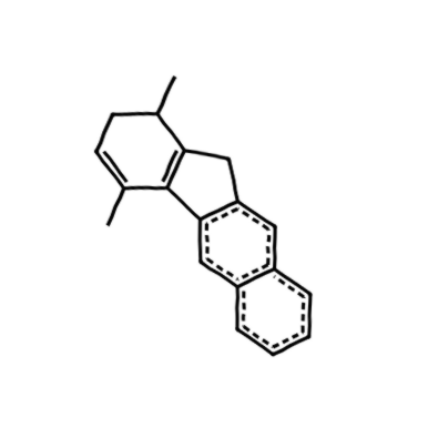 CC1=CCC(C)C2=C1c1cc3ccccc3cc1C2